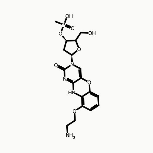 CP(=O)(O)O[C@@H]1C[C@H](n2cc3c(nc2=O)Nc2c(OCCN)cccc2O3)OC1CO